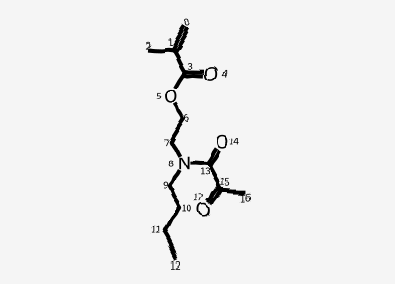 C=C(C)C(=O)OCCN(CCCC)C(=O)C(C)=O